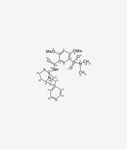 COc1cc(OC)c(S(=O)(=O)N(C)C)cc1C(=O)NC12CCCC(CC1)N2Cc1ccccc1